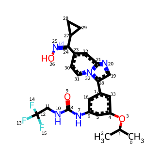 CC(C)Oc1cc(NC(=O)NCC(F)(F)F)cc(-c2cnc3cc(/C(=N\O)C4CC4)ccn23)c1